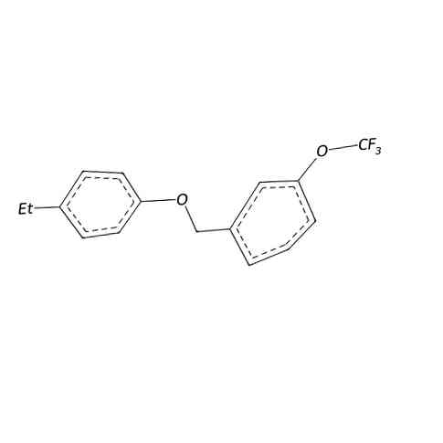 CCc1ccc(OCc2cccc(OC(F)(F)F)c2)cc1